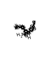 COCCCS(=O)(=O)N1CCC(c2c[nH]c3c(C(N)=O)cc(-c4cccc(CN[C@@H](C)C(C)(C)C)c4)cc23)CC1